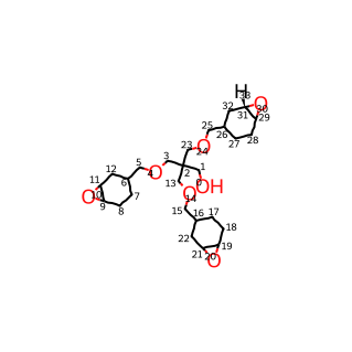 OCC(COCC1CCC2OC2C1)(COCC1CCC2OC2C1)COCC1CCC2O[C@H]2C1